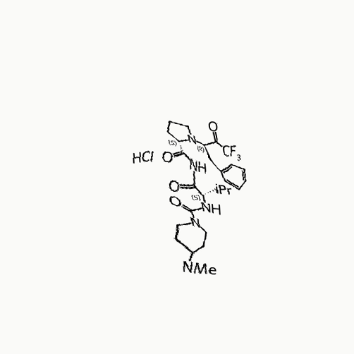 CNC1CCN(C(=O)N[C@H](C(=O)NC(=O)[C@@H]2CCCN2[C@H](Cc2ccccc2)C(=O)C(F)(F)F)C(C)C)CC1.Cl